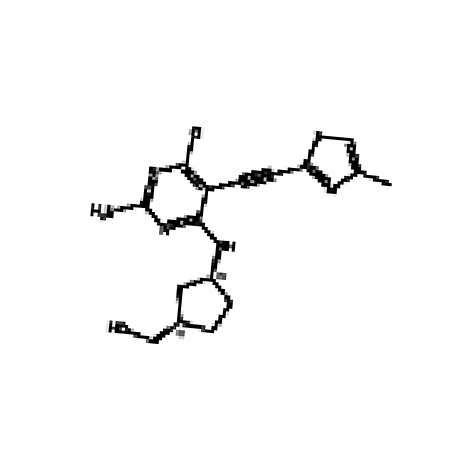 Cc1csc(C#Cc2c(Cl)nc(N)nc2N[C@H]2CC[C@@H](CO)C2)n1